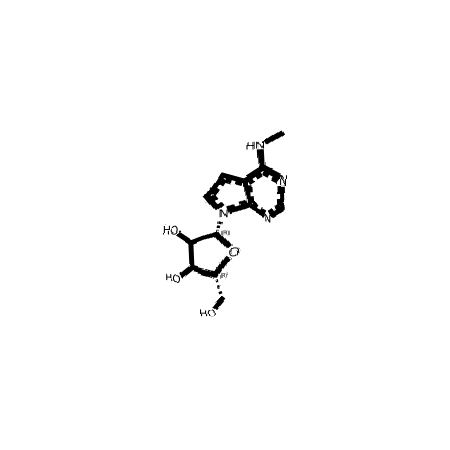 CNc1ncnc2c1ccn2[C@@H]1O[C@H](CO)C(O)C1O